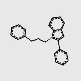 c1ccc(CCCn2c(-c3ccccc3)cc3ccccc32)cc1